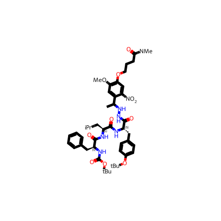 CNC(=O)CCCOc1cc([N+](=O)[O-])c(C(C)NNC(=O)[C@H](Cc2ccc(OC(C)(C)C)cc2)NC(=O)[C@H](CC(C)C)NC(=O)[C@H](Cc2ccccc2)NC(=O)OC(C)(C)C)cc1OC